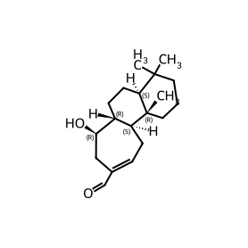 CC1(C)CCC[C@]2(C)[C@H]3CC=C(C=O)C[C@@H](O)[C@@H]3CC[C@@H]12